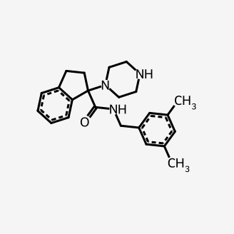 Cc1cc(C)cc(CNC(=O)C2(N3CCNCC3)CCc3ccccc32)c1